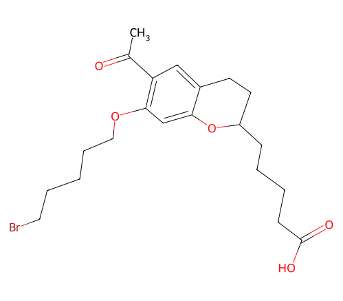 CC(=O)c1cc2c(cc1OCCCCCBr)OC(CCCCC(=O)O)CC2